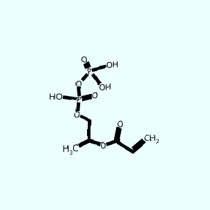 C=CC(=O)OC(C)COP(=O)(O)OP(=O)(O)O